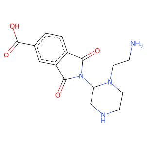 NCCN1CCNCC1N1C(=O)c2ccc(C(=O)O)cc2C1=O